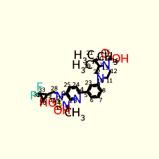 CN1c2nc(-c3cccc(N4CCN(C(=O)O)C(C(C)(C)C)C4)c3)ccc2N(CC2CC2(F)F)S1(O)O